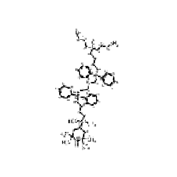 CC1(C)CC([N+](C)(C)CCCC[PH](CCCC[PH](CCCC[N+](C)(CCCN)CCCN)(c2ccccc2)c2ccccc2)(c2ccccc2)c2ccccc2)CC(C)(C)N1